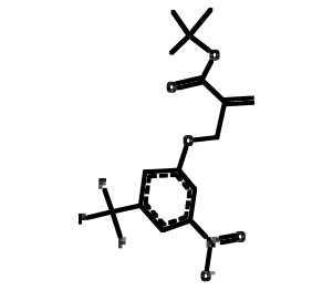 C=C(COc1cc([N+](=O)[O-])cc(C(F)(F)F)c1)C(=O)OC(C)(C)C